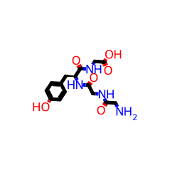 NCC(=O)NCC(=O)N[C@@H](Cc1ccc(O)cc1)C(=O)NCC(=O)O